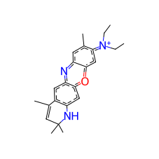 CC[N+](CC)=c1cc2oc3cc4c(cc3nc-2cc1C)C(C)=CC(C)(C)N4